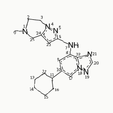 CN1CCn2nc(Nc3cc(C4CCCCC4)cn4ncnc34)cc2C1